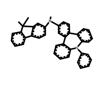 CN(c1ccc2c(c1)-c1ccccc1N(c1ccccc1)c1ccccc1-2)c1ccc2c(c1)C(C)(C)c1ccccc1-2